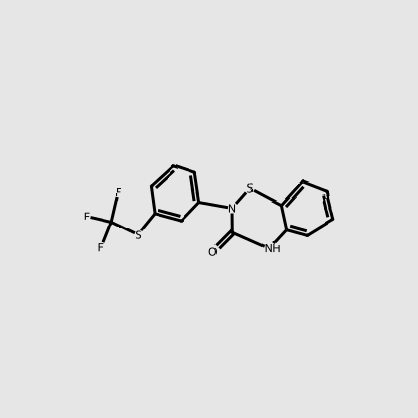 O=C1Nc2ccccc2SN1c1cccc(SC(F)(F)F)c1